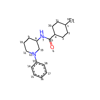 CCC1CCC(C(=O)NC2CCCN(c3ccccc3)C2)CC1